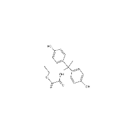 C=C(OCC)C(=O)O.CC(C)(c1ccc(O)cc1)c1ccc(O)cc1